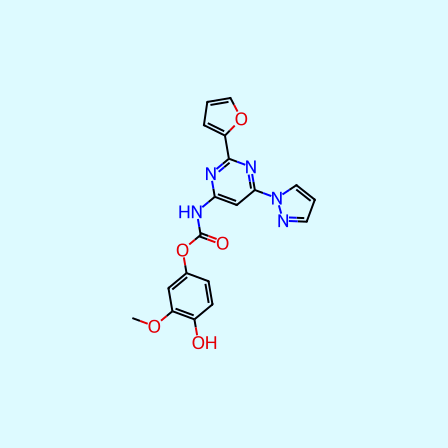 COc1cc(OC(=O)Nc2cc(-n3cccn3)nc(-c3ccco3)n2)ccc1O